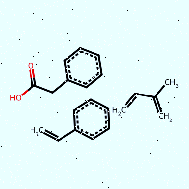 C=CC(=C)C.C=Cc1ccccc1.O=C(O)Cc1ccccc1